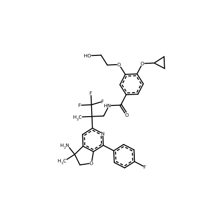 CC1(N)COc2c1cc(C(C)(CNC(=O)c1ccc(OC3CC3)c(OCCO)c1)C(F)(F)F)nc2-c1ccc(F)cc1